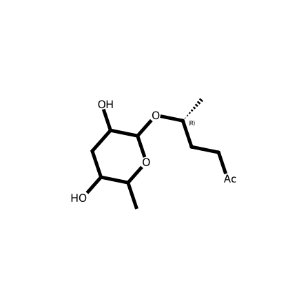 CC(=O)CC[C@@H](C)OC1OC(C)C(O)CC1O